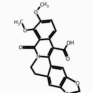 COc1ccc2c(C(=O)O)c3n(c(=O)c2c1OC)CCc1cc2c(cc1-3)OCO2